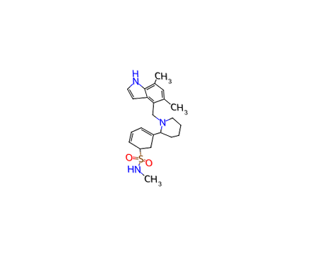 CNS(=O)(=O)C1C=CC=C(C2CCCCN2Cc2c(C)cc(C)c3[nH]ccc23)C1